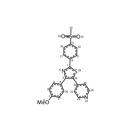 COc1ccc(-c2nc(-c3ccc(S(C)(=O)=O)cc3)sc2-c2ccncc2)cc1